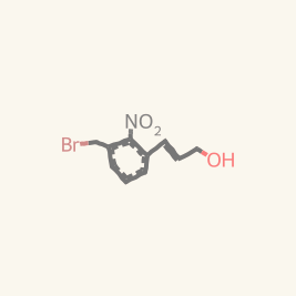 O=[N+]([O-])c1c(C=CCO)cccc1CBr